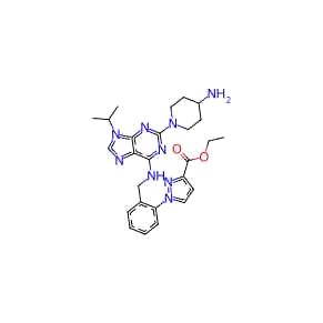 CCOC(=O)c1ccn(-c2ccccc2CNc2nc(N3CCC(N)CC3)nc3c2ncn3C(C)C)n1